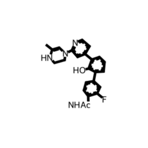 CC(=O)Nc1ccc(-c2cccc(-c3ccnc(N4C=C(C)NCC4)c3)c2O)cc1F